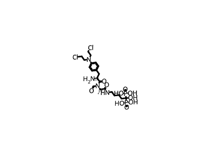 C[C@@H](C(=O)NCCCCC(O)(P(=O)(O)O)P(=O)(O)O)N(C=O)C(=O)[C@@H](N)Cc1ccc(N(CCCl)CCCl)cc1